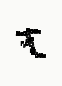 COCc1cn(-c2ccc(S(=O)(=O)[C@@H]3C[C@H](OC)[C@@H](C(=O)OC)C3)c(C(F)(F)F)c2)nn1